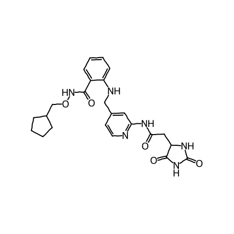 O=C(CC1NC(=O)NC1=O)Nc1cc(CNc2ccccc2C(=O)NOCC2CCCC2)ccn1